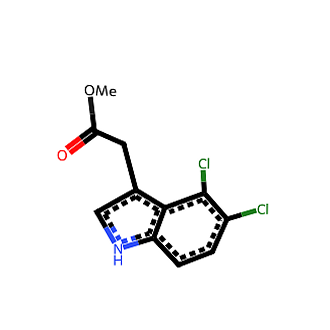 COC(=O)Cc1c[nH]c2ccc(Cl)c(Cl)c12